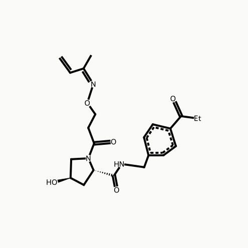 C=C/C(C)=N\OCCC(=O)N1C[C@H](O)C[C@H]1C(=O)NCc1ccc(C(=O)CC)cc1